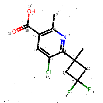 Cc1nc(C2(C)CC(F)(F)C2)c(Cl)cc1C(=O)O